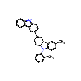 Cc1ccc2c(c1)C1C=C(c3ccc4[nH]c5ccccc5c4c3)C=CC1N2c1ccccc1C